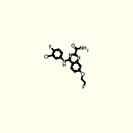 NC(=O)c1nc(Nc2ccc(F)c(Cl)c2)c2c[c]c(OCCF)cc2n1